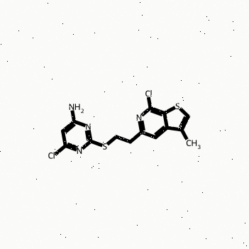 Cc1csc2c(Cl)nc(CCSc3nc(N)cc(Cl)n3)cc12